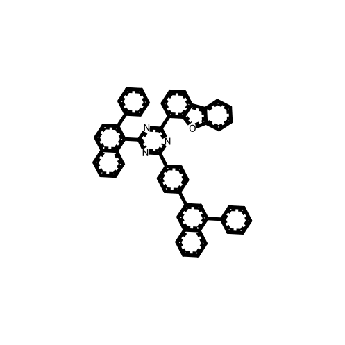 c1ccc(-c2ccc3ccccc3c2-c2nc(-c3ccc(-c4cc(-c5ccccc5)c5ccccc5c4)cc3)nc(-c3cccc4c3oc3ccccc34)n2)cc1